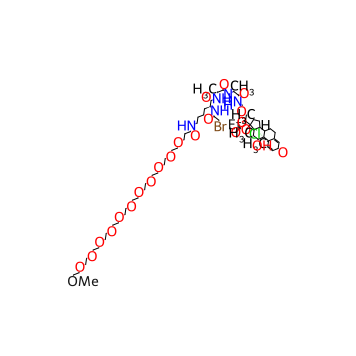 CCC(=O)OC1(C(=O)COCNC(=O)[C@H](C)NC(=O)[C@H](C)NC(=O)[C@H](CCCCNC(=O)CCOCCOCCOCCOCCOCCOCCOCCOCCOCCOCCOCCOC)NC(=O)CBr)[C@@H](C)CC2[C@@H]3CCC4=CC(=O)C=C[C@]4(C)[C@@]3(Cl)[C@@H](O)C[C@@]21C